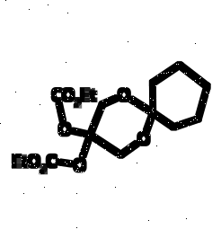 CCOC(=O)OC1(OC(=O)OCC)COC2(CCCCC2)OC1